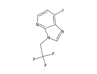 FC(F)(F)Cn1cnc2c(I)ccnc21